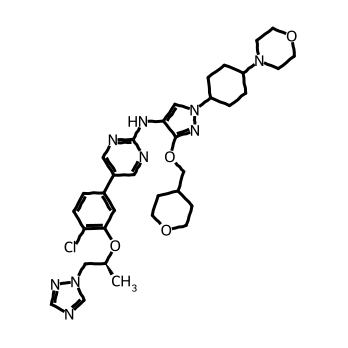 C[C@@H](Cn1cncn1)Oc1cc(-c2cnc(Nc3cn(C4CCC(N5CCOCC5)CC4)nc3OCC3CCOCC3)nc2)ccc1Cl